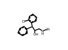 CC(C)NCC(O)C(c1ccccc1)c1ccccc1Cl